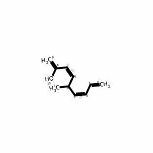 C=C/C=C\C(C)/C=C\C(=C)O